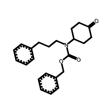 O=C1CCC(N(CCCc2ccccc2)C(=O)OCc2ccccc2)CC1